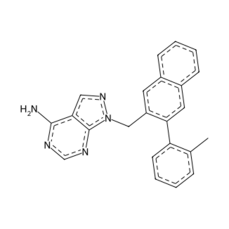 Cc1ccccc1-c1cc2ccccc2cc1Cn1ncc2c(N)ncnc21